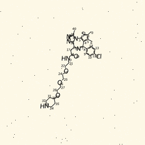 Cc1sc2c(c1C)C(c1ccc(Cl)cc1)=N[C@@H](CC(=O)NCCOCCOCCOC1CCNCC1)c1nnc(C)n1-2